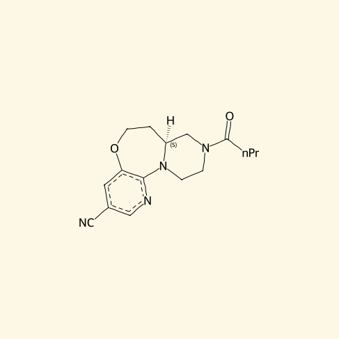 CCCC(=O)N1CCN2c3ncc(C#N)cc3OCC[C@H]2C1